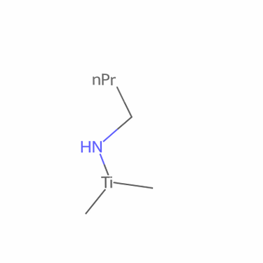 CCCC[NH][Ti]([CH3])[CH3]